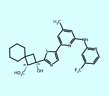 Cc1cc(Nc2cc(C(F)(F)F)ccn2)nc(-c2cnc([C@]3(O)CC4(CCCCC4)[C@H]3C(=O)O)s2)c1